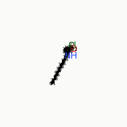 C=CCCCCCCCCC=CCCCNc1cccc(C(=O)Cl)c1